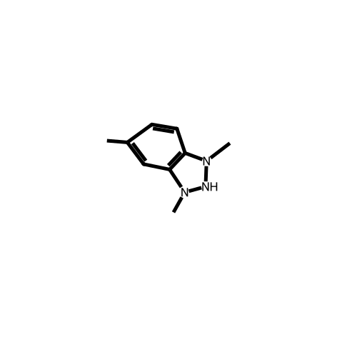 Cc1ccc2c(c1)N(C)NN2C